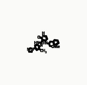 COCC(Cc1ccccc1)Nc1cc[nH]c(=O)c1-c1nc2c(C)cc(-n3ccnc3)cc2[nH]1